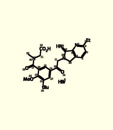 Br.CCc1ccc2c(n1)C(=N)N(CC(=O)c1cc(C(=O)N(C)CC(=O)O)c(OC)c(C(C)(C)C)c1)C2